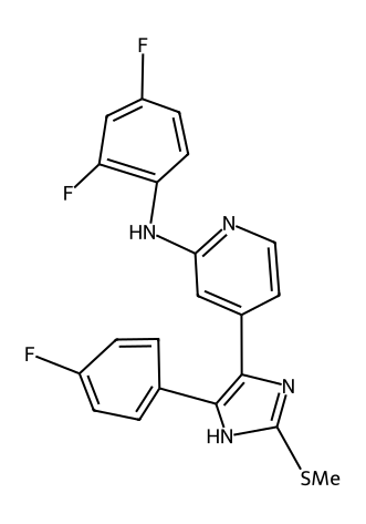 CSc1nc(-c2ccnc(Nc3ccc(F)cc3F)c2)c(-c2ccc(F)cc2)[nH]1